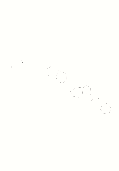 CC(C)(C)OC(=O)N1CCC(C(=O)Nc2cc(Oc3ccc4c(c3)c(Cl)cn4C(=O)Nc3ccccc3)ccn2)CC1